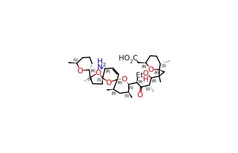 CC[C@@H](C(=O)[C@@H](C)[C@@H](O)C1(C)C[C@]12O[C@@H](CC(=O)O)CC[C@@H]2C)[C@H]1O[C@]2(C=C[C@@H](N)[C@]3(CC[C@@](C)([C@H]4CCC[C@H](C)O4)O3)O2)[C@H](C)C[C@@H]1C